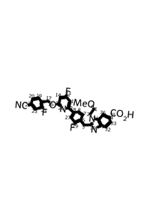 COCCn1c(Cc2ccc(-c3cc(F)cc(OCc4ccc(C#N)cc4F)n3)cc2F)nc2ccc(C(=O)O)cc21